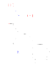 O=C(c1cnc2ccccc2c1)N(O)O